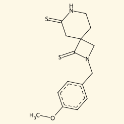 COc1ccc(CN2CC3(CCNC(=S)C3)C2=S)cc1